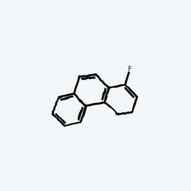 FC1=CCCc2c1ccc1ccccc21